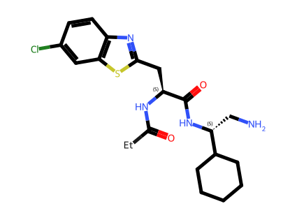 CCC(=O)N[C@@H](Cc1nc2ccc(Cl)cc2s1)C(=O)N[C@H](CN)C1CCCCC1